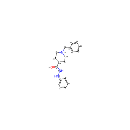 O=C(NNc1ccccc1)C1CCN(Cc2ccccc2)CC1